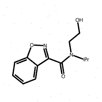 CC(C)N(CCO)C(=O)c1noc2ccccc12